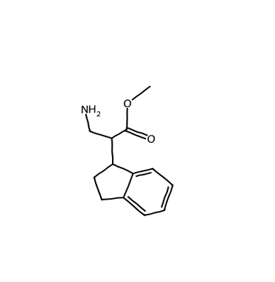 COC(=O)C(CN)C1CCc2ccccc21